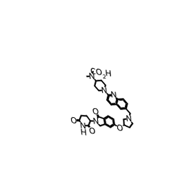 CN(C(=O)O)C1CCN(c2ccc3cc(CN4CC[C@H](Oc5ccc6c(c5)CN(C5CCC(=O)NC5=O)C6=O)C4)ccc3n2)CC1